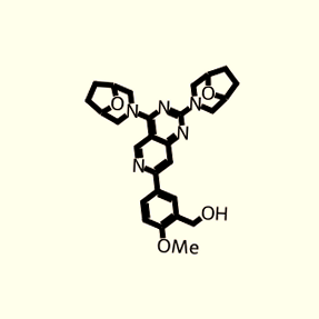 COc1ccc(-c2cc3nc(N4CC5CCC(C4)O5)nc(N4CC5CCC(C4)O5)c3cn2)cc1CO